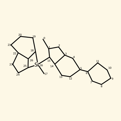 CC1CC2CC(C3CCCCC3)CCC2C1[Si]1(C)C2CCCC3CCC1C32